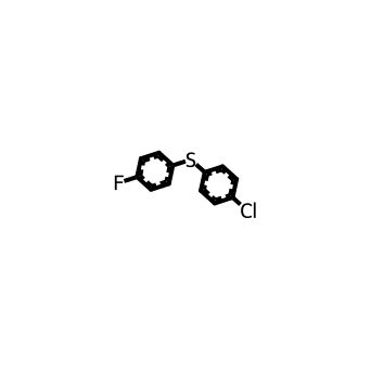 Fc1ccc(Sc2ccc(Cl)cc2)cc1